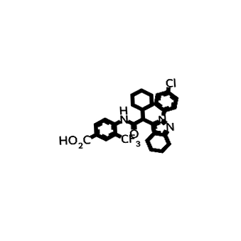 O=C(O)c1ccc(NC(=O)C(c2c3c(nn2-c2ccc(Cl)cc2)CCCC3)C2CCCCC2)c(C(F)(F)F)c1